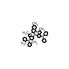 Cc1ccc2c3c4c(cc2c1)-n1c(C)cc2c(N(c5ccccc5C)c5ccccc5C)ccc(c21)B4c1ccc(N(c2ccccc2)c2ccccc2)c2cc(C)n-3c12